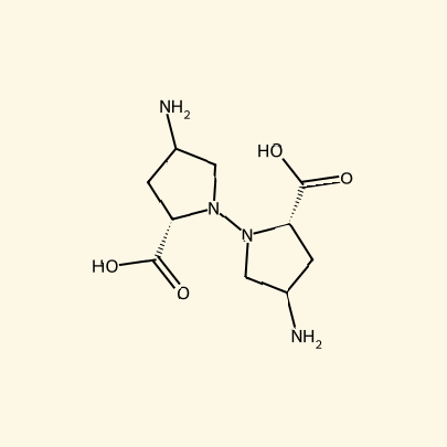 NC1C[C@@H](C(=O)O)N(N2CC(N)C[C@H]2C(=O)O)C1